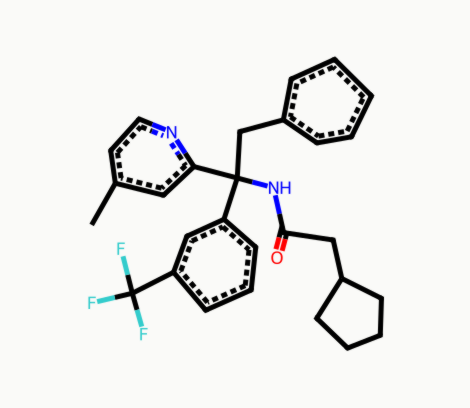 Cc1ccnc(C(Cc2ccccc2)(NC(=O)CC2CCCC2)c2cccc(C(F)(F)F)c2)c1